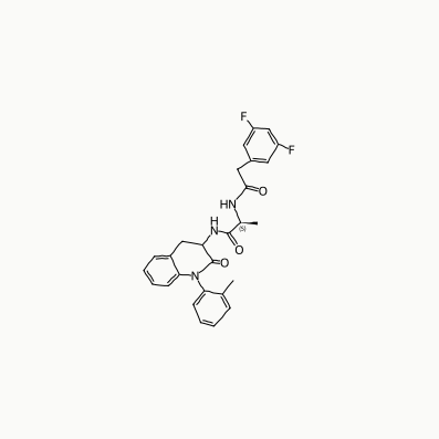 Cc1ccccc1N1C(=O)C(NC(=O)[C@H](C)NC(=O)Cc2cc(F)cc(F)c2)Cc2ccccc21